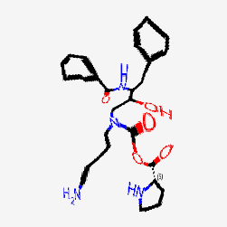 NCCCCN(CC(O)C(Cc1ccccc1)NC(=O)c1ccccc1)C(=O)OC(=O)[C@@H]1CCCN1